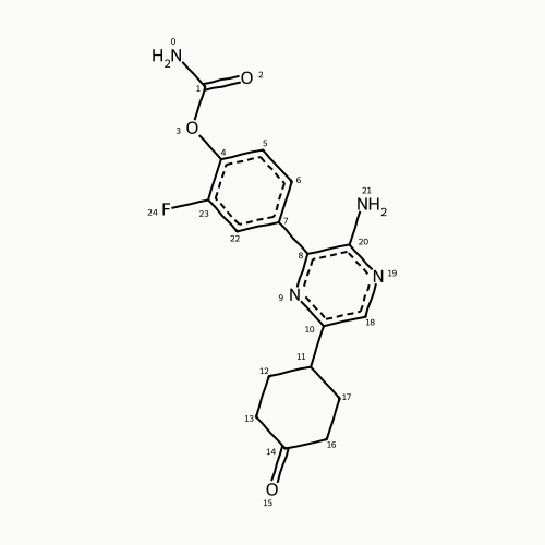 NC(=O)Oc1ccc(-c2nc(C3CCC(=O)CC3)cnc2N)cc1F